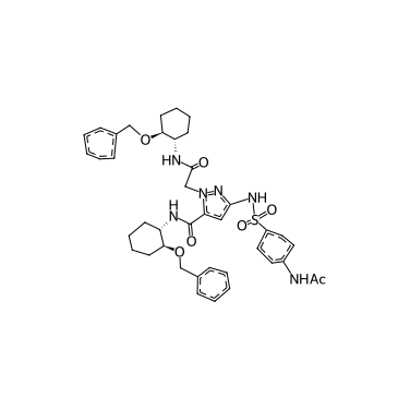 CC(=O)Nc1ccc(S(=O)(=O)Nc2cc(C(=O)N[C@H]3CCCC[C@@H]3OCc3ccccc3)n(CC(=O)N[C@H]3CCCC[C@@H]3OCc3ccccc3)n2)cc1